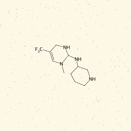 CN1C=C(C(F)(F)F)CNC1NC1CCCNC1